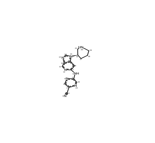 N#Cc1cnc(Nc2cc3c(cn2)ncn3[C@@H]2CCCNC2)cn1